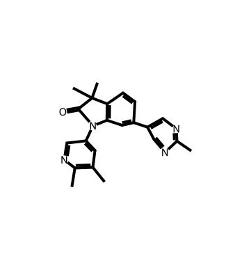 Cc1ncc(-c2ccc3c(c2)N(c2cnc(C)c(C)c2)C(=O)C3(C)C)cn1